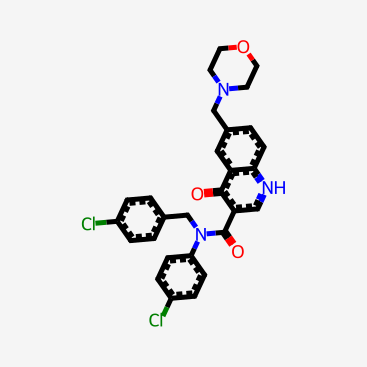 O=C(c1c[nH]c2ccc(CN3CCOCC3)cc2c1=O)N(Cc1ccc(Cl)cc1)c1ccc(Cl)cc1